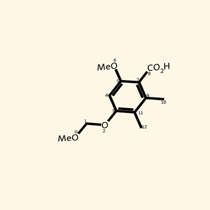 COCOc1cc(OC)c(C(=O)O)c(C)c1C